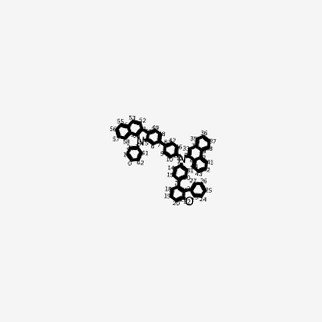 c1ccc(-n2c3cc(-c4ccc(N(c5ccc(-c6cccc7oc8ccccc8c67)cc5)c5cc6ccccc6c6ccccc56)cc4)ccc3c3ccc4ccccc4c32)cc1